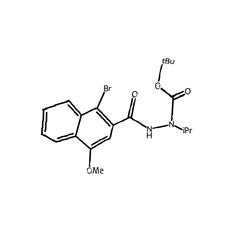 COc1cc(C(=O)NN(C(=O)OC(C)(C)C)C(C)C)c(Br)c2ccccc12